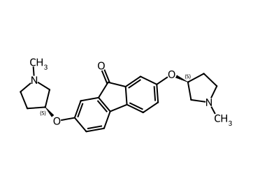 CN1CC[C@H](Oc2ccc3c(c2)C(=O)c2cc(O[C@H]4CCN(C)C4)ccc2-3)C1